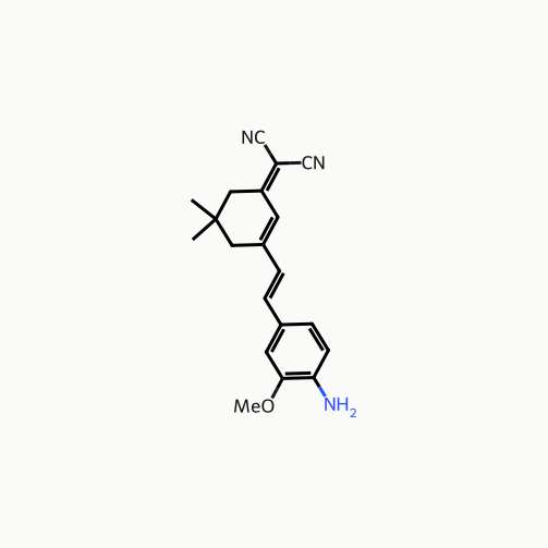 COc1cc(/C=C/C2=CC(=C(C#N)C#N)CC(C)(C)C2)ccc1N